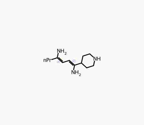 CCC/C(N)=C/C=C(\N)C1CCNCC1